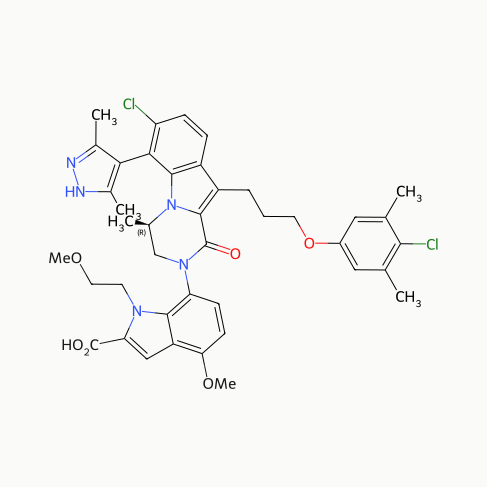 COCCn1c(C(=O)O)cc2c(OC)ccc(N3C[C@@H](C)n4c(c(CCCOc5cc(C)c(Cl)c(C)c5)c5ccc(Cl)c(-c6c(C)n[nH]c6C)c54)C3=O)c21